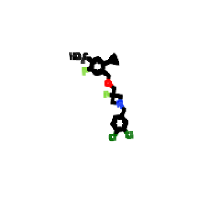 O=C(O)c1cc(C2CC2)c(COCC2(F)CN(Cc3ccc(Cl)c(Cl)c3)C2)cc1F